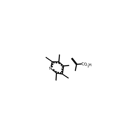 C=C(C)C(=O)O.Cc1nc(C)c(C)c(C)c1C